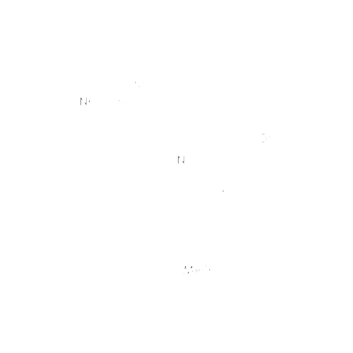 COCCOc1nc(CC(=O)C#N)ccc1Br